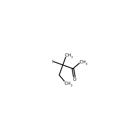 CCC(C)(I)C(C)=O